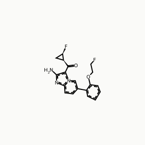 Nc1nc2ccc(-c3ccccc3OCCF)cn2c1C(=O)[C@H]1C[C@H]1F